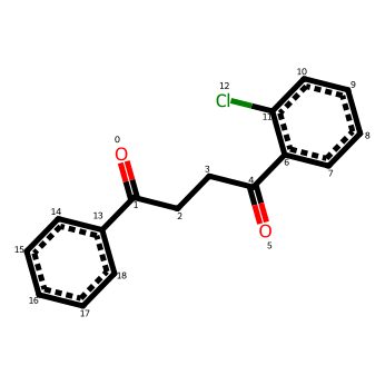 O=C(CCC(=O)c1ccccc1Cl)c1ccccc1